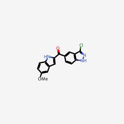 COc1ccc2[nH]c(C(=O)c3ccc4[nH]nc(Cl)c4c3)cc2c1